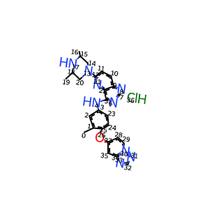 Cc1cc(Nc2ncnc3ccc(N4CC(C)NC(C)C4)nc23)ccc1Oc1ccn2ncnc2c1.Cl